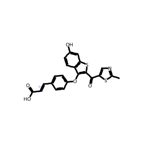 Cc1ncc(C(=O)c2sc3cc(O)ccc3c2Oc2ccc(/C=C/C(=O)O)cc2)s1